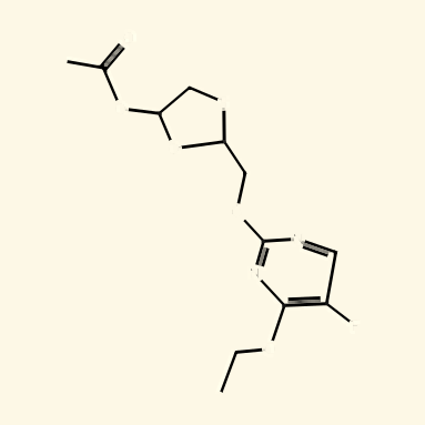 CCOc1nc(OCC2OC(OC(C)=O)CS2)ncc1F